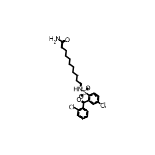 NC(=O)CCCCCCCCCCNS(=O)(=O)c1ccc(Cl)cc1C(=O)c1ccccc1Cl